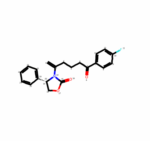 C=C(CCCC(=O)c1ccc(F)cc1)N1C(=O)OC[C@@H]1c1ccccc1